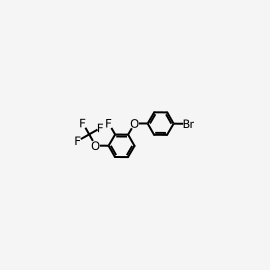 Fc1c(Oc2ccc(Br)cc2)cccc1OC(F)(F)F